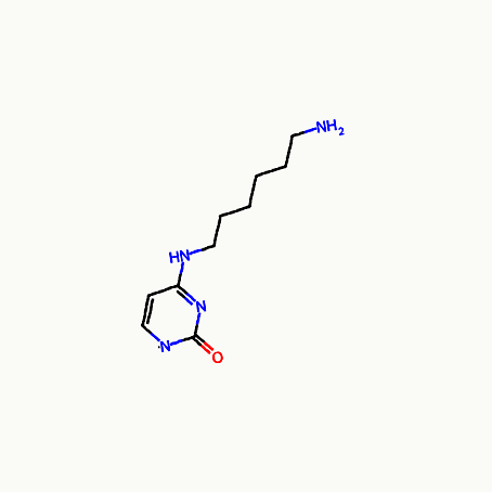 NCCCCCCNC1=NC(=O)[N]C=C1